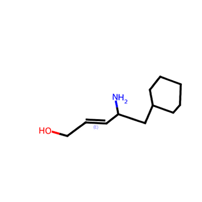 NC(/C=C/CO)CC1CCCCC1